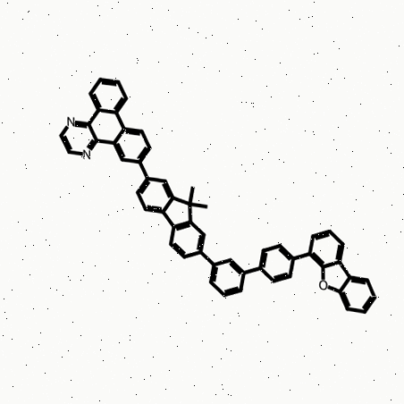 CC1(C)c2cc(-c3cccc(-c4ccc(-c5cccc6c5oc5ccccc56)cc4)c3)ccc2-c2ccc(-c3ccc4c5ccccc5c5nccnc5c4c3)cc21